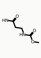 COC(=O)NCCC([NH])=O